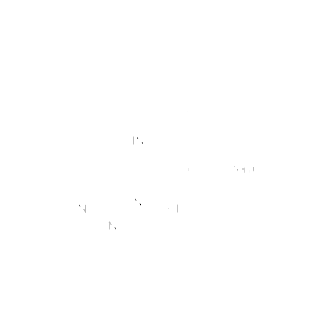 CCCC(C)OC(=O)Nc1cnnn1C